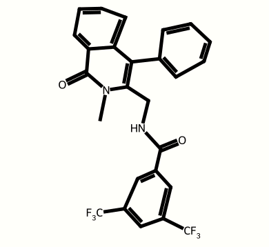 Cn1c(CNC(=O)c2cc(C(F)(F)F)cc(C(F)(F)F)c2)c(-c2ccccc2)c2ccccc2c1=O